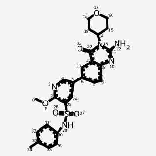 COc1ncc(-c2ccc3nc(N)n(C4CCOCC4)c(=O)c3c2)cc1S(=O)(=O)Nc1ccc(C)cc1